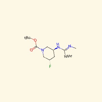 C/N=C(\NC)N[C@H]1C[C@H](F)CN(C(=O)OC(C)(C)C)C1